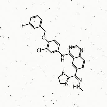 CNN=C(C1=NCCN1C)c1ccc2ncnc(Nc3ccc(OCc4cccc(F)c4)c(Cl)c3)c2c1